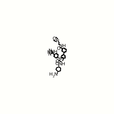 NC[C@H]1CC[C@H](C(=O)N[C@@H](Cc2ccc(-c3cccc(C(=O)NCCN4CCOCC4)c3)cc2)C(=O)Nc2ccc(-c3nnn[nH]3)cc2)CC1